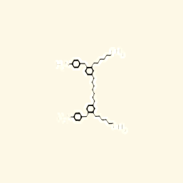 CCCCCCCc1cc(CCCCCCCc2ccc(Cc3ccc(N)cc3)c(CCCCCCC)c2)ccc1Cc1ccc(N)cc1